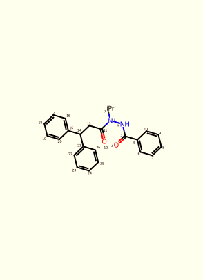 CC(C)N(NC(=O)c1ccccc1)C(=O)CC(c1ccccc1)c1ccccc1